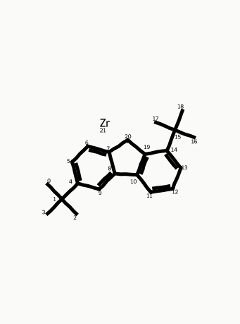 CC(C)(C)c1ccc2c(c1)-c1cccc(C(C)(C)C)c1[CH]2.[Zr]